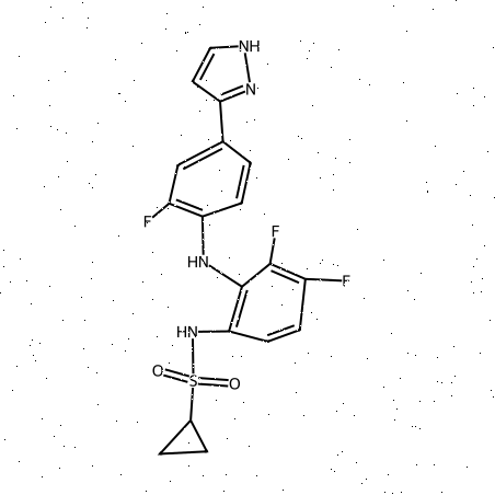 O=S(=O)(Nc1ccc(F)c(F)c1Nc1ccc(-c2cc[nH]n2)cc1F)C1CC1